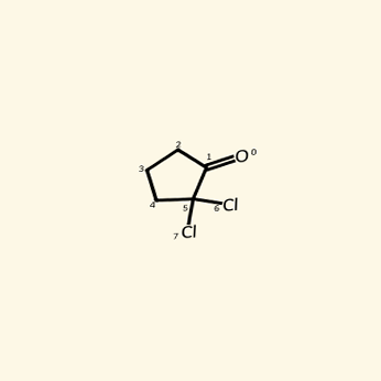 O=C1CCCC1(Cl)Cl